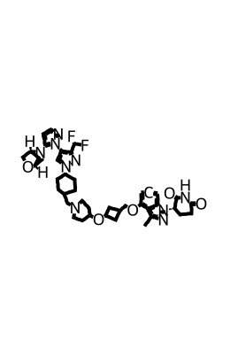 Cc1nn([C@H]2CCC(=O)NC2=O)c2cccc(OCC3CC(OC4CCN(CC5CCC(n6cc(-n7nccc7N7C[C@H]8C[C@@H]7CO8)c(C(F)F)n6)CC5)CC4)C3)c12